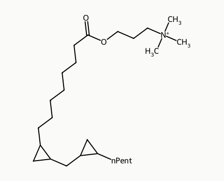 CCCCCC1CC1CC1CC1CCCCCCCC(=O)OCCC[N+](C)(C)C